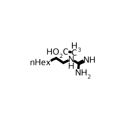 CC(=O)O.CCCCCCCCNC(=N)N